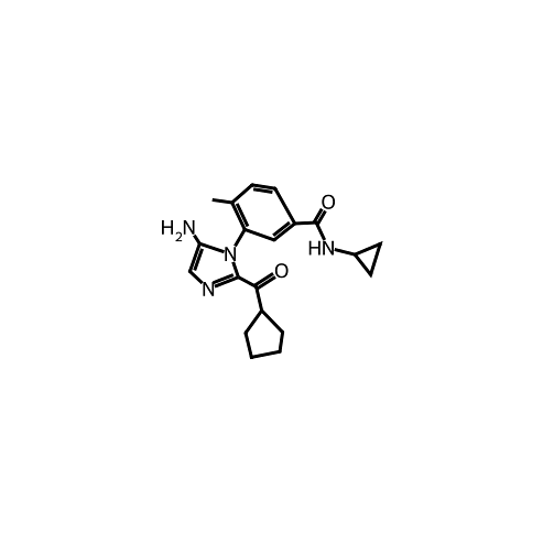 Cc1ccc(C(=O)NC2CC2)cc1-n1c(N)cnc1C(=O)C1CCCC1